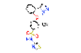 Cn1nccc1-c1ccccc1Oc1ccc(S(=O)(=O)Nc2cscn2)cc1C#N